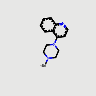 CC(C)(C)N1CCN(c2ccnc3ccccc23)CC1